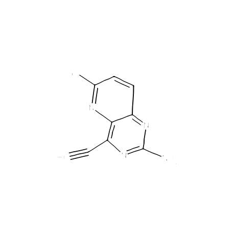 C#Cc1nc(N)nc2ccc(Cl)nc12